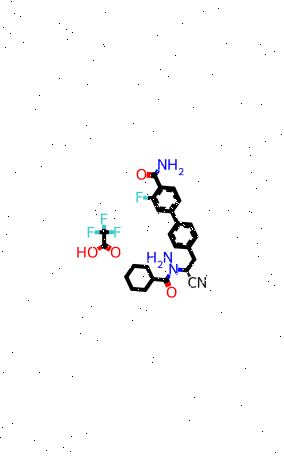 N#C[C@H](Cc1ccc(-c2ccc(C(N)=O)c(F)c2)cc1)N(N)C(=O)C1CCCCC1.O=C(O)C(F)(F)F